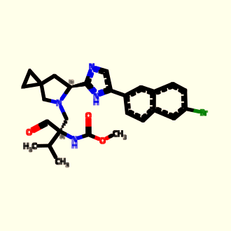 COC(=O)N[C@@](C=O)(CN1CC2(CC2)C[C@H]1c1ncc(-c2ccc3cc(Br)ccc3c2)[nH]1)C(C)C